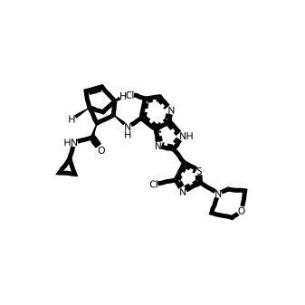 O=C(NC1CC1)[C@@H]1[C@H](Nc2c(Cl)cnc3[nH]c(-c4sc(N5CCOCC5)nc4Cl)nc23)[C@H]2C=C[C@@H]1C2